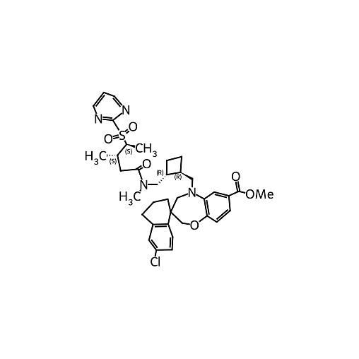 COC(=O)c1ccc2c(c1)N(C[C@@H]1CC[C@H]1CN(C)C(=O)C[C@H](C)[C@H](C)S(=O)(=O)c1ncccn1)CC1(CCCc3cc(Cl)ccc31)CO2